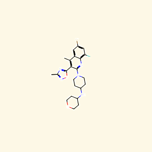 Cc1noc(-c2c(N3CCC(NC4CCOCC4)CC3)nc3c(F)cc(Br)cc3c2C)n1